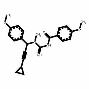 COc1ccc(C(=O)NC(=N)N(C)C(C#CC2CC2)c2ccc(OC)cc2)cc1